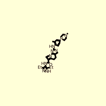 CCc1n[nH]c(CC)c1NC(=O)c1ccn2c1CCc1cnc(Nc3ccc(N4CCN(C)CC4)cc3C)nc1-2